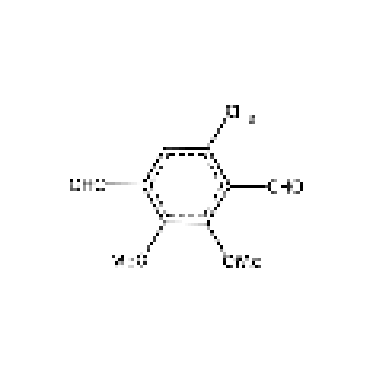 COc1c(C=O)cc(C)c(C=O)c1OC